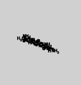 CC(C)(N)C(=O)N1CCN(C(=O)Nc2ccn(-c3ccc(C(N)C(=O)N4CC5C(CN)[C@H]5C4)cc3)c(=O)n2)CC1